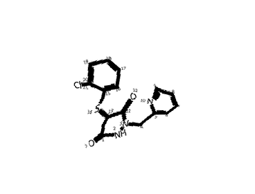 O=C1NN(Cc2ccccn2)C(=O)C1Sc1ccccc1Cl